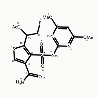 COc1cc(OC)nc(NS(=O)(=O)c2c(C(N)=O)csc2C(CF)OC(C)=O)n1